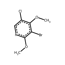 COc1ncc(Cl)c(OC)c1Br